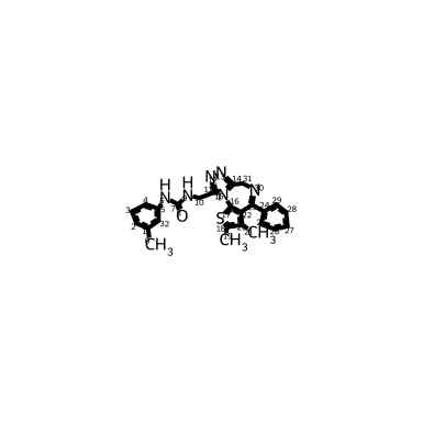 Cc1cccc(NC(=O)NCc2nnc3n2-c2sc(C)c(C)c2C(c2ccccc2)=NC3)c1